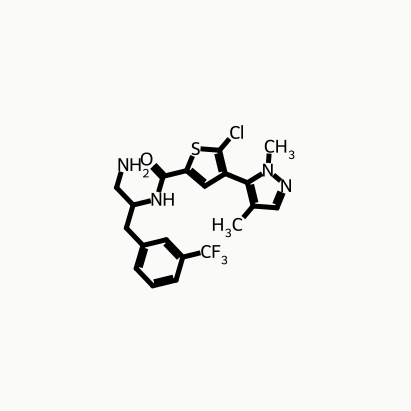 Cc1cnn(C)c1-c1cc(C(=O)NC(CN)Cc2cccc(C(F)(F)F)c2)sc1Cl